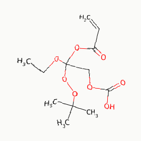 C=CC(=O)OC(COC(=O)O)(OCC)OOC(C)(C)C